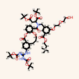 CC(C)(C)OC(=O)CC(C(=O)OC(C)(C)C)N(Cc1cc(OCCOCCO)cc(C(=O)OCC[Si](C)(C)C)c1)C(=O)c1cccc2c1OCCCc1cc(NC(=NC(=O)OC(C)(C)C)NC(=O)OC(C)(C)C)ccc1C(=O)O2